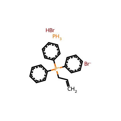 Br.C=CC[P+](c1ccccc1)(c1ccccc1)c1ccccc1.P.[Br-]